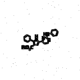 CCOC(=O)c1cc(-c2ccnc(Nc3ccccc3)n2)[nH]c1-c1ccccc1